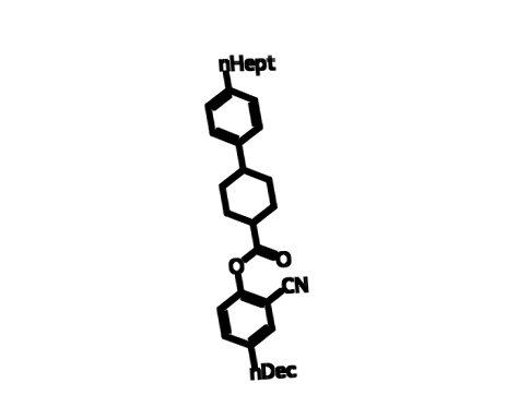 CCCCCCCCCCc1ccc(OC(=O)C2CCC(c3ccc(CCCCCCC)cc3)CC2)c(C#N)c1